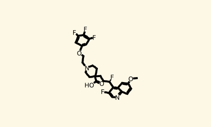 COc1ccc2ncc(F)c([C@H](F)CCC3(C(=O)O)CCN(CCOc4cc(F)c(F)c(F)c4)CC3)c2c1